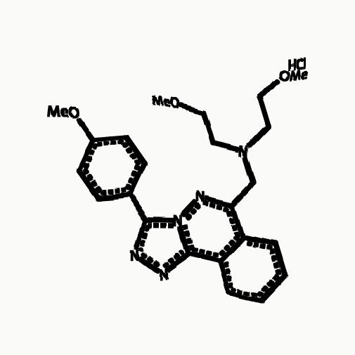 COCCN(CCOC)Cc1nn2c(-c3ccc(OC)cc3)nnc2c2ccccc12.Cl